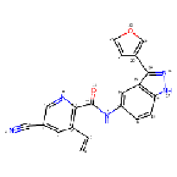 C=Cc1cc(C#N)cnc1C(=O)Nc1ccc2[nH]nc(-c3ccoc3)c2c1